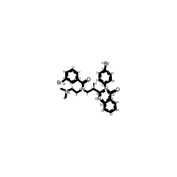 C[C@H](CN(CCN(C)C)C(=O)c1cccc(Br)c1)c1nc2ccccc2c(=O)n1-c1ccc(Br)cc1